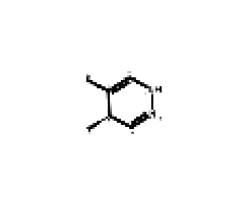 CC1=CNN=C[C@H]1C